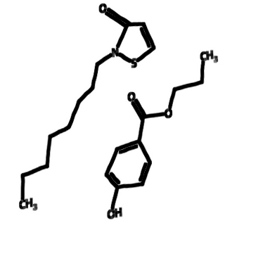 CCCCCCCCn1sccc1=O.CCCOC(=O)c1ccc(O)cc1